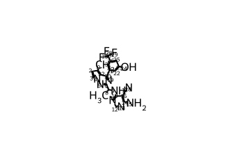 Cc1ccn2nc(C(C)Nc3ncnc(N)c3C#N)nc(-c3cc(O)cc(C(F)(F)F)c3)c12